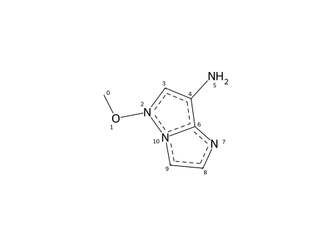 COn1cc(N)c2nccn21